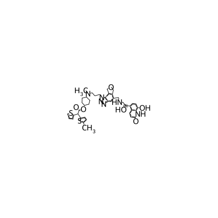 Cc1ccc(C(C(=O)O[C@H]2CC[C@H](N(C)CCCn3nnc4cc(CNC[C@H](O)c5ccc(O)c6[nH]c(=O)ccc56)c5c(c43)COC5)CC2)c2cccs2)s1